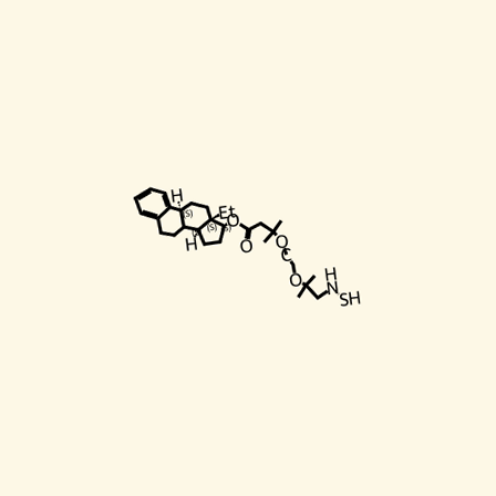 CC[C@]12CC[C@@H]3c4ccccc4CCC3[C@@H]1CC[C@@H]2OC(=O)CC(C)(C)OCCOC(C)(C)CNS